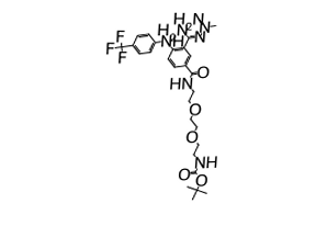 CN(N)/N=C(\N)c1cc(C(=O)NCCOCCOCCNC(=O)OC(C)(C)C)ccc1Nc1ccc(C(F)(F)F)cc1